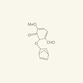 COC1=CC=C(C=O)C(OC2CC3C=CC2C3)C1=O